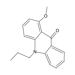 CCCn1c2ccccc2c(=O)c2c(OC)cccc21